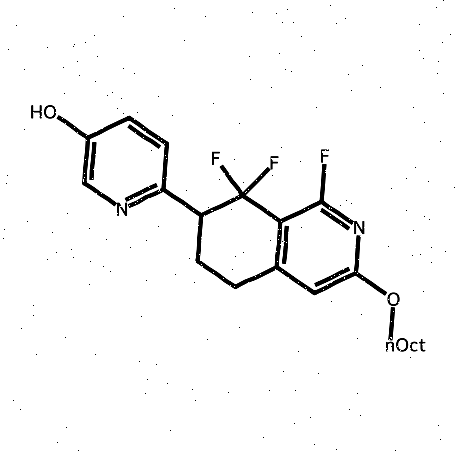 CCCCCCCCOc1cc2c(c(F)n1)C(F)(F)C(c1ccc(O)cn1)CC2